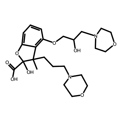 CC1(CCCN2CCOCC2)c2c(OCC(O)CN3CCOCC3)cccc2OC1(O)C(=O)O